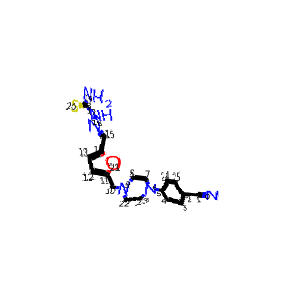 N#Cc1ccc(N2CCN(Cc3ccc(/C=N/NC(N)=S)o3)CC2)cc1